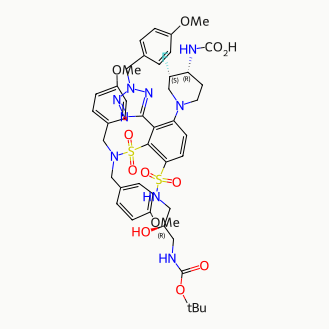 COc1ccc(CN(Cc2ccc(OC)cc2)S(=O)(=O)c2c(S(=O)(=O)NC[C@H](O)CNC(=O)OC(C)(C)C)ccc(N3CC[C@@H](NC(=O)O)[C@@H](F)C3)c2-c2nnn(Cc3ccc(OC)cc3)n2)cc1